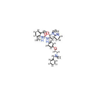 CCCCn1c(=O)c(NC(=O)Nc2c(C(C)C)cccc2C(C)C)c(-c2cccc(OCCN(CC)Cc3ccccc3)c2)c2cccnc21